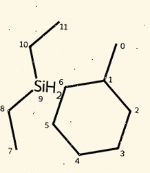 CC1CCCCC1.CC[SiH2]CC